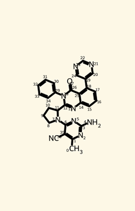 Cc1nc(N)nc(N2CCCC2c2nc3cccc(-c4cncnc4)c3c(=O)n2-c2ccccc2)c1C#N